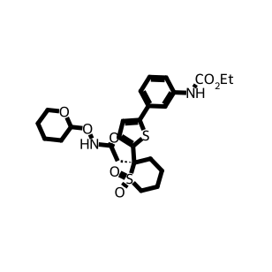 CCOC(=O)Nc1cccc(-c2ccc([C@@]3(CC(=O)NOC4CCCCO4)CCCCS3(=O)=O)s2)c1